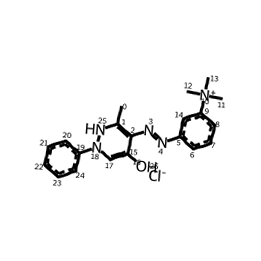 CC1=C(N=Nc2cccc([N+](C)(C)C)c2)C(O)=CN(c2ccccc2)N1.[Cl-]